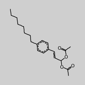 CCCCCCCCc1ccc(/C=C/C(OC(C)=O)OC(C)=O)cc1